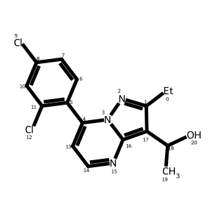 CCc1nn2c(-c3ccc(Cl)cc3Cl)ccnc2c1C(C)O